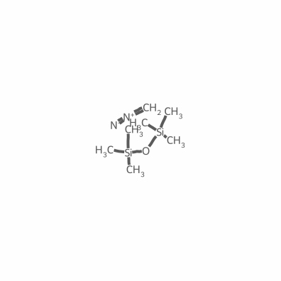 C=[N+]=[N-].C[Si](C)(C)O[Si](C)(C)C